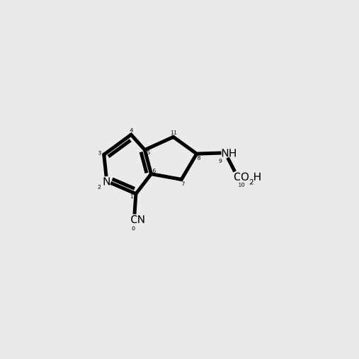 N#Cc1nccc2c1CC(NC(=O)O)C2